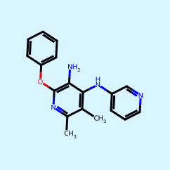 Cc1nc(Oc2ccccc2)c(N)c(Nc2cccnc2)c1C